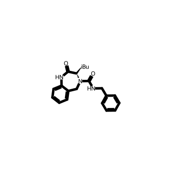 CC[C@H](C)[C@H]1C(=O)Nc2ccccc2CN1C(=O)NCc1ccccc1